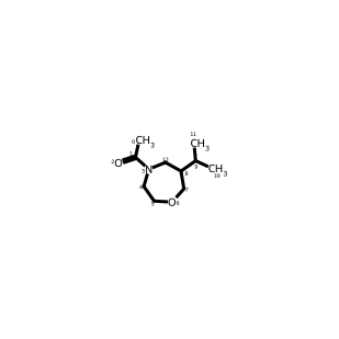 CC(=O)N1CCOCC(C(C)C)C1